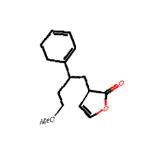 COCCC(CC1C=COC1=O)C1=CC=CCC1